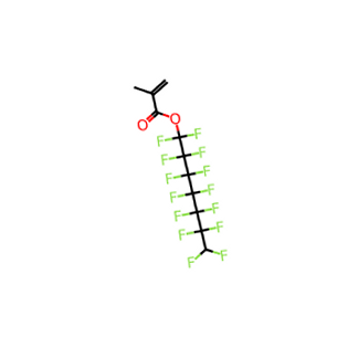 C=C(C)C(=O)OC(F)(F)C(F)(F)C(F)(F)C(F)(F)C(F)(F)C(F)(F)C(F)F